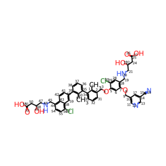 Cc1c(COc2cc(OCc3cncc(C#N)c3)c(CNCC(O)CC(=O)O)cc2Cl)cccc1-c1cccc(-c2ccc3c(CNCC(O)CC(=O)O)ccc(Cl)c3c2)c1C